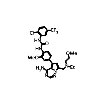 CCN(CCOC)Cc1cc(-c2ccc(NC(=O)Nc3cc(C(F)(F)F)ccc3Cl)c(OC)c2)c2c(N)ncnn12